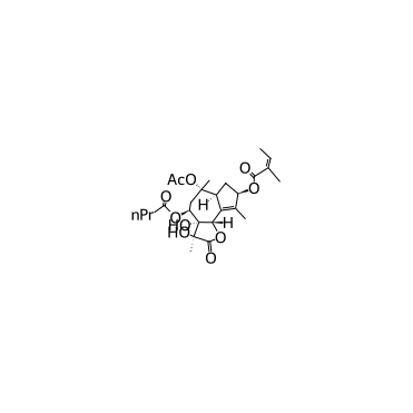 C/C=C(/C)C(=O)O[C@@H]1C[C@H]2C(=C1C)[C@@H]1OC(=O)[C@@](C)(O)[C@@]1(O)[C@@H](OC(=O)CCC)C[C@]2(C)OC(C)=O